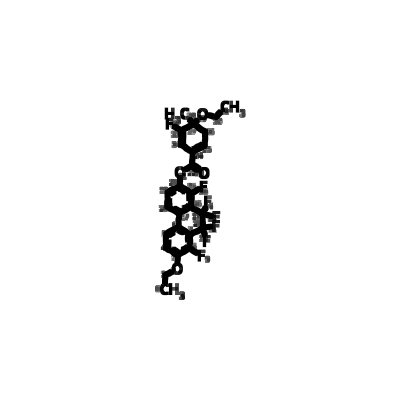 CCOc1ccc2c(c1F)C(F)(F)C(F)(F)c1c-2ccc(OC(=O)C2=CCC(C)(OCC)C(F)=C2)c1F